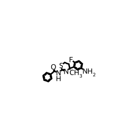 C[C@@]1(c2cc(N)ccc2F)CCSC(NC(=O)c2ccccc2)=N1